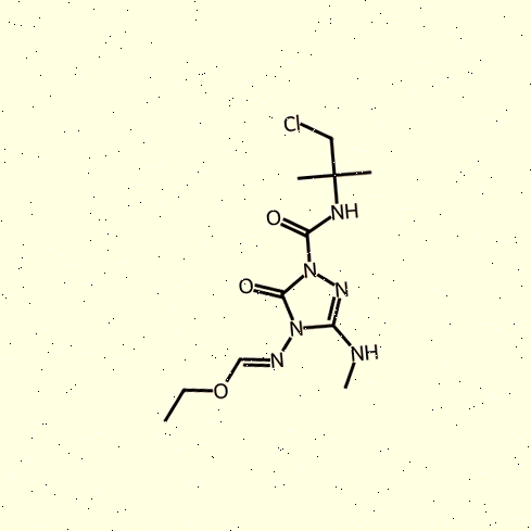 CCO/C=N/n1c(NC)nn(C(=O)NC(C)(C)CCl)c1=O